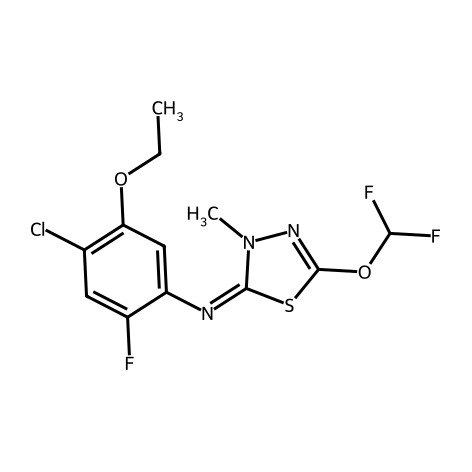 CCOc1cc(/N=c2/sc(OC(F)F)nn2C)c(F)cc1Cl